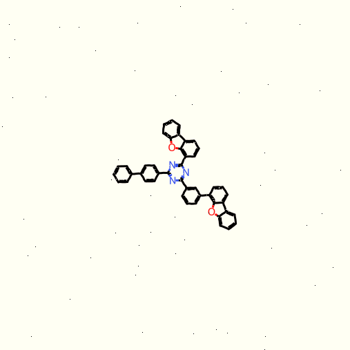 c1ccc(-c2ccc(-c3nc(-c4cccc(-c5cccc6c5oc5ccccc56)c4)nc(-c4cccc5c4oc4ccccc45)n3)cc2)cc1